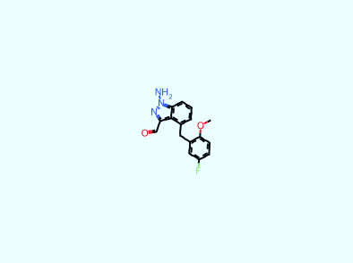 COc1ccc(F)cc1Cc1cccc2c1c(C=O)nn2N